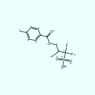 Cc1ccc(C(=O)OCC(F)C(F)(F)S(=O)(=O)O)cc1